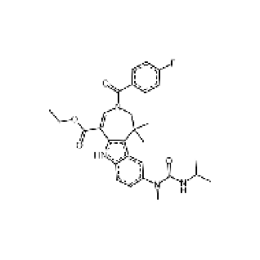 CCOC(=O)C1=CN(C(=O)c2ccc(F)cc2)CC(C)(C)c2c1[nH]c1ccc(N(C)C(=O)NC(C)C)cc21